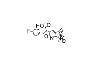 CN(c1nc2oc(-c3ccc(F)cc3)c(C(=O)O)c2cc1C1CC1)S(C)(=O)=O